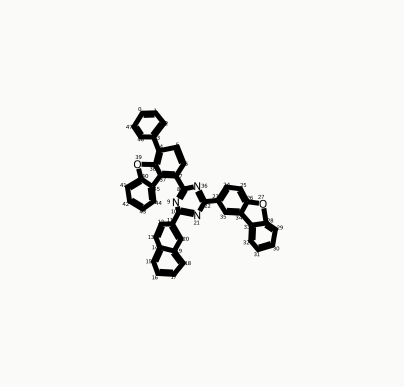 c1ccc(-c2ccc(-c3nc(-c4ccc5ccccc5c4)nc(-c4ccc5oc6ccccc6c5c4)n3)c3c2oc2ccccc23)cc1